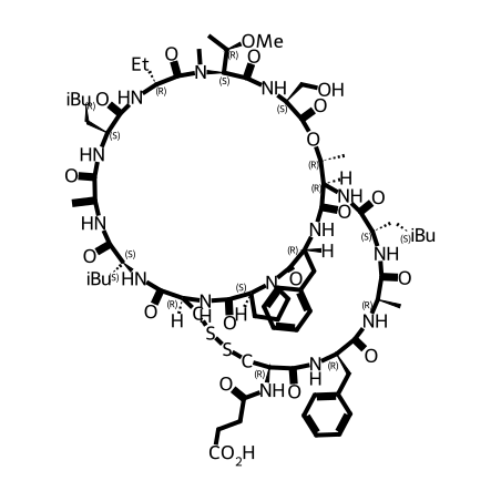 C=C1NC(=O)[C@H]([C@@H](C)CC)NC(=O)[C@@H]2CSSC[C@H](NC(=O)CCC(=O)O)C(=O)N[C@H](Cc3ccccc3)C(=O)N[C@H](C)C(=O)N[C@@H](C[C@@H](C)CC)C(=O)N[C@@H](C(=O)N[C@H](Cc3ccccc3)C(=O)N3CCC[C@H]3C(=O)N2)[C@@H](C)OC(=O)[C@H](CO)NC(=O)[C@H]([C@@H](C)OC)N(C)C(=O)[C@@H](CC)NC(=O)[C@H](C[C@H](C)CC)NC1=O